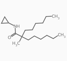 CCCCCCC(C)(CCCCCC)C(=O)NC1CC1